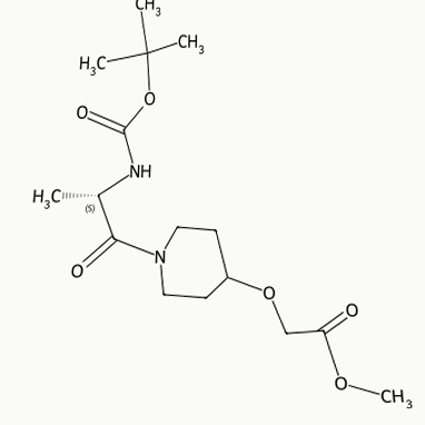 COC(=O)COC1CCN(C(=O)[C@H](C)NC(=O)OC(C)(C)C)CC1